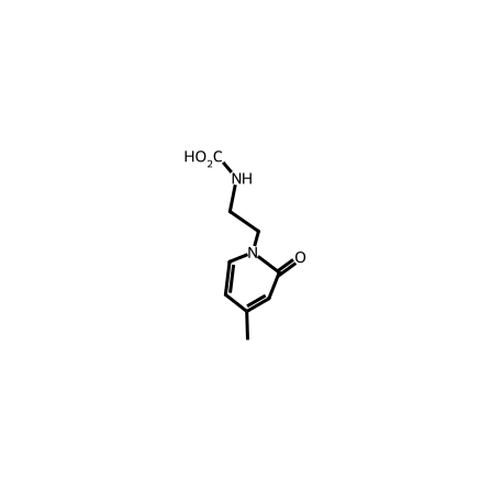 Cc1ccn(CCNC(=O)O)c(=O)c1